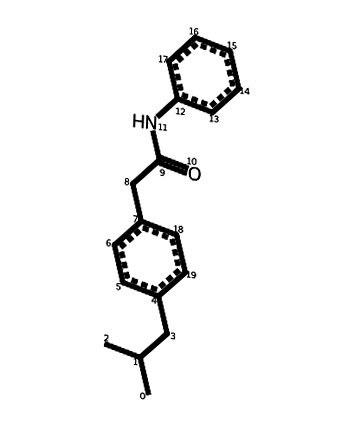 CC(C)Cc1ccc(CC(=O)Nc2ccccc2)cc1